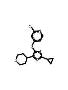 Clc1cc(Oc2sc(C3CC3)nc2C2CCOCC2)ccn1